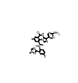 Cc1cc(C(C)Nc2ccc(F)cc2-c2ncn(C)n2)c2c(c1)c(=O)n(C)c1c(-c3cnc(N)nc3)ncn21